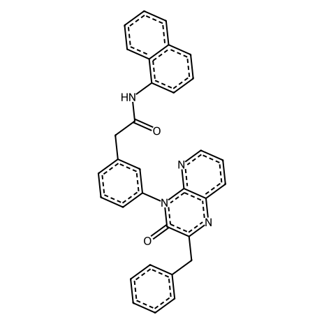 O=C(Cc1cccc(-n2c(=O)c(Cc3ccccc3)nc3cccnc32)c1)Nc1cccc2ccccc12